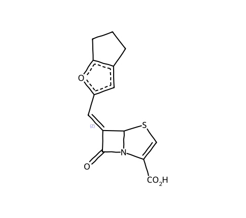 O=C(O)C1=CSC2/C(=C\c3cc4c(o3)CCC4)C(=O)N12